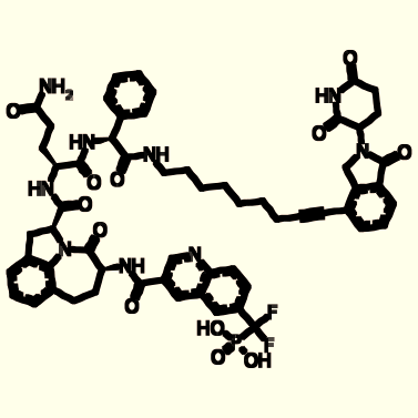 NC(=O)CC[C@H](NC(=O)[C@@H]1Cc2cccc3c2N1C(=O)[C@@H](NC(=O)c1cnc2ccc(C(F)(F)P(=O)(O)O)cc2c1)CC3)C(=O)N[C@H](C(=O)NCCCCCCCC#Cc1cccc2c1CN(C1CCC(=O)NC1=O)C2=O)c1ccccc1